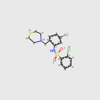 O=S(=O)(Nc1cc(Cl)ccc1CN1CCSCC1)c1ccccc1Cl